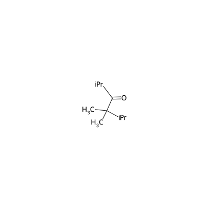 CC(C)C(=O)C(C)(C)C(C)C